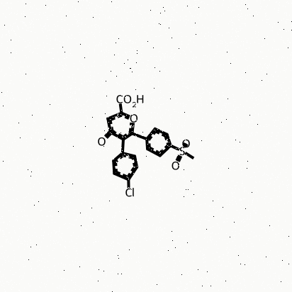 CS(=O)(=O)c1ccc(-c2oc(C(=O)O)cc(=O)c2-c2ccc(Cl)cc2)cc1